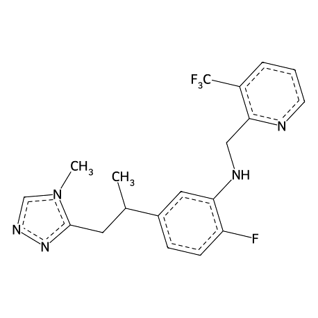 CC(Cc1nncn1C)c1ccc(F)c(NCc2ncccc2C(F)(F)F)c1